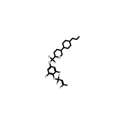 CCCC1CCC(C2CCC(C(F)(F)Oc3cc(F)c(OC(F)(F)C=C(F)F)c(F)c3)OC2)CC1